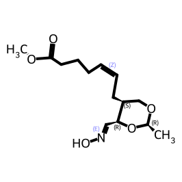 COC(=O)CCC/C=C\C[C@H]1CO[C@@H](C)O[C@H]1/C=N/O